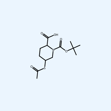 CC(=O)SC1CCC(C(=O)O)N(C(=O)OC(C)(C)C)C1